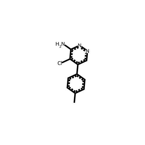 Cc1ccc(-c2cnnc(N)c2Cl)cc1